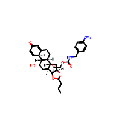 CCCC1O[C@@H]2C[C@H]3[C@@H]4CCC5=CC(=O)C=C[C@]5(C)[C@H]4[C@@H](O)C[C@]3(C)[C@]2(C(=O)COC(=O)NCc2ccc(N)cc2)O1